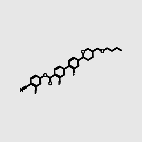 CCCCOCC1CCC(c2ccc(-c3ccc(C(=O)Oc4ccc(C#N)c(F)c4)c(F)c3)c(F)c2)OC1